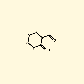 C=C1CCCCC1C=O